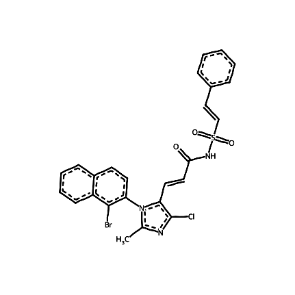 Cc1nc(Cl)c(C=CC(=O)NS(=O)(=O)C=Cc2ccccc2)n1-c1ccc2ccccc2c1Br